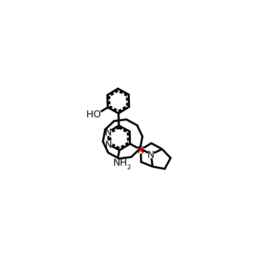 Nc1nnc(-c2ccccc2O)cc1N1CC2CCC(C1)N2C1CCCCCCCCC1